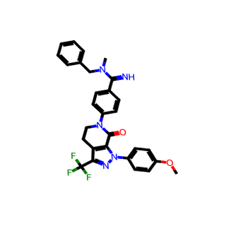 COc1ccc(-n2nc(C(F)(F)F)c3c2C(=O)N(c2ccc(C(=N)N(C)Cc4ccccc4)cc2)CC3)cc1